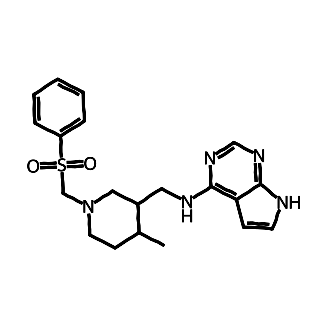 CC1CCN(CS(=O)(=O)c2ccccc2)CC1CNc1ncnc2[nH]ccc12